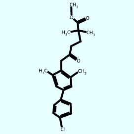 COC(=O)C(C)(C)CCC(=O)Cc1c(C)cc(-c2ccc(Cl)cc2)cc1C